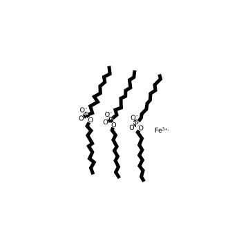 CCCCCCCCCCOP(=O)([O-])CCCCCCCCCC.CCCCCCCCCCOP(=O)([O-])CCCCCCCCCC.CCCCCCCCCCOP(=O)([O-])CCCCCCCCCC.[Fe+3]